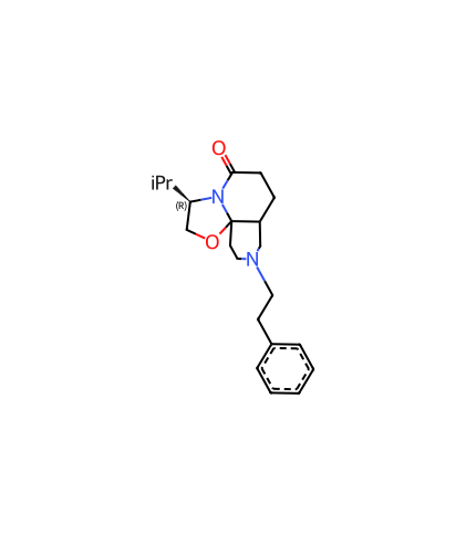 CC(C)[C@@H]1COC23CCN(CCc4ccccc4)CC2CCC(=O)N13